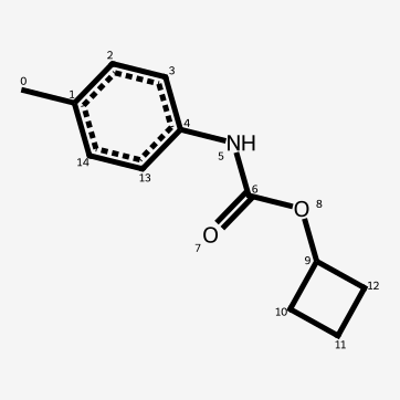 Cc1ccc(NC(=O)OC2CCC2)cc1